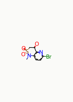 CN1c2ccc(Br)nc2C(=O)CS1(=O)=O